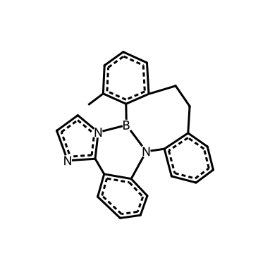 Cc1cccc2c1B1N(c3ccccc3CC2)c2ccccc2-c2nccn21